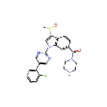 C[S+]([O-])c1cn(-c2ncc(-c3ccccc3F)cn2)c2cc(C(=O)N3CCNCC3)ccc12